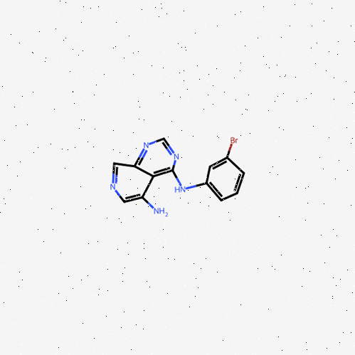 Nc1cncc2ncnc(Nc3cccc(Br)c3)c12